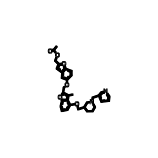 CC(=O)OCc1cc2cc(OCc3oc4cccc(OCC5CCCN(Cc6cccnc6)C5)c4c3C)ccc2o1